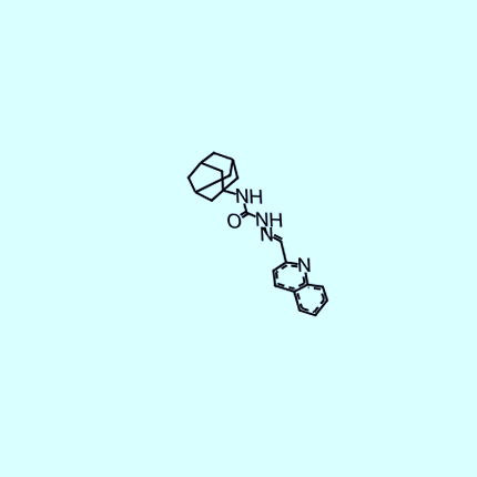 O=C(N/N=C/c1ccc2ccccc2n1)NC12CC3CC(CC(C3)C1)C2